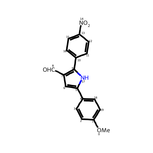 COc1ccc(-c2cc(C=O)c(-c3ccc([N+](=O)[O-])cc3)[nH]2)cc1